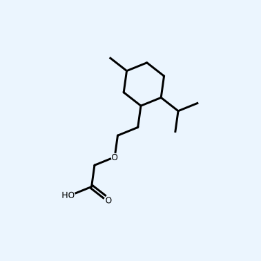 CC1CCC(C(C)C)C(CCOCC(=O)O)C1